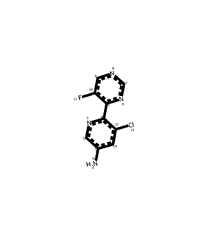 Nc1cnc(-c2ncncc2F)c(Cl)c1